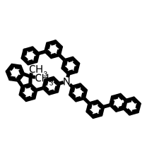 CC1(C)c2ccccc2-c2cccc(-c3ccc(N(c4ccc(-c5cccc(-c6ccc7ccccc7c6)c5)cc4)c4cccc(-c5cccc(-c6ccccc6)c5)c4)cc3)c21